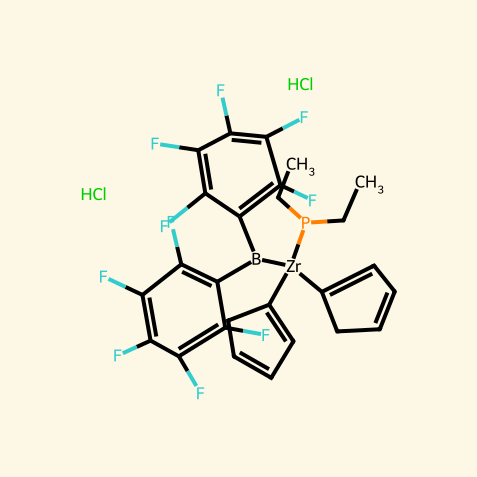 CC[P](CC)[Zr]([B](c1c(F)c(F)c(F)c(F)c1F)c1c(F)c(F)c(F)c(F)c1F)([C]1=CC=CC1)[C]1=CC=CC1.Cl.Cl